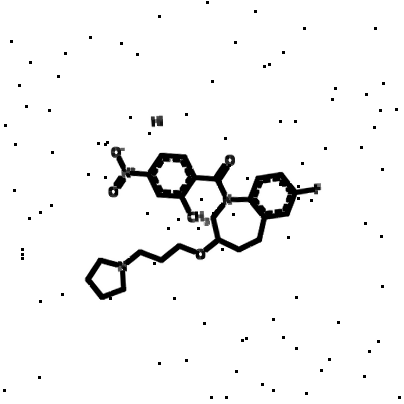 Cc1cc([N+](=O)[O-])ccc1C(=O)N1CC(OCCCN2CCCC2)CCc2cc(F)ccc21.I